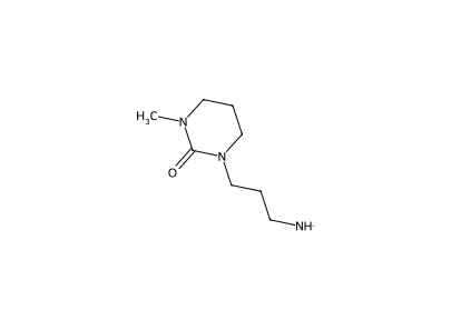 CN1CCCN(CCC[NH])C1=O